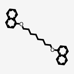 c1ccc2c(OCCCCCCCCOc3cccc4ccccc34)cccc2c1